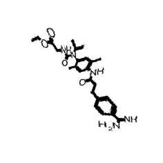 CCOC(=O)CNC(=O)N(c1cc(C)c(NC(=O)CCc2ccc(C(=N)N)cc2)cc1C)C(C)C